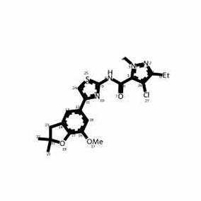 CCc1nn(C)c(C(=O)Nc2nc(-c3cc4c(c(OC)c3)OC(C)(C)C4)cs2)c1Cl